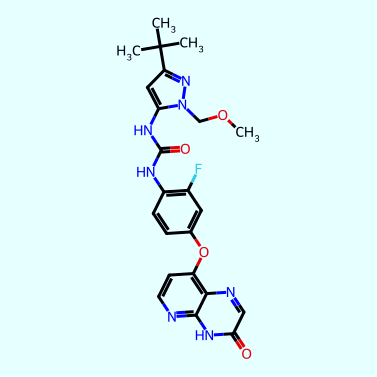 COCn1nc(C(C)(C)C)cc1NC(=O)Nc1ccc(Oc2ccnc3[nH]c(=O)cnc23)cc1F